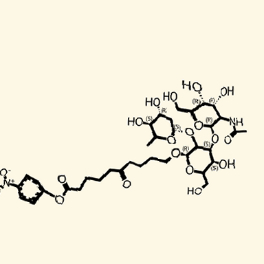 CC(=O)NC1[C@@H](O[C@@H]2C(O[C@H]3C[C@@H](O)[C@H](O)C(C)O3)[C@H](OCCCCC(=O)CCCCC(=O)Oc3ccc([N+](=O)[O-])cc3)OC(CO)[C@@H]2O)OC(CO)[C@H](O)[C@@H]1O